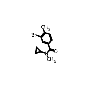 Cc1ccc(C(=O)N(C)C2CC2)cc1Br